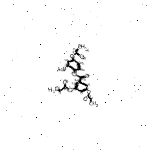 C=CC(=O)Oc1cc(OC(=O)C=C)cc(C(=O)Oc2ccc(OC(=O)C=C)cc2OC(C)=O)c1